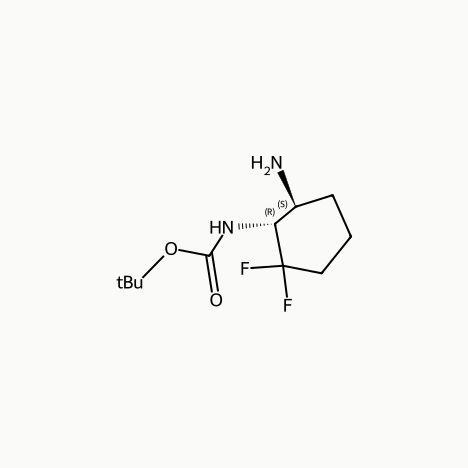 CC(C)(C)OC(=O)N[C@@H]1[C@@H](N)CCCC1(F)F